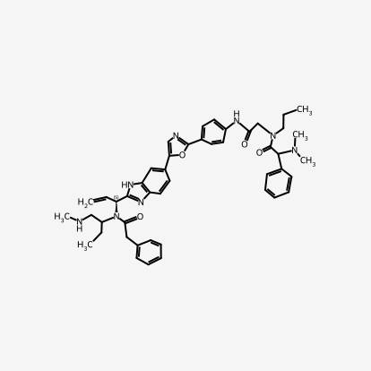 C=C[C@@H](c1nc2ccc(-c3cnc(-c4ccc(NC(=O)CN(CCC)C(=O)C(c5ccccc5)N(C)C)cc4)o3)cc2[nH]1)N(C(=O)Cc1ccccc1)C(CC)CNC